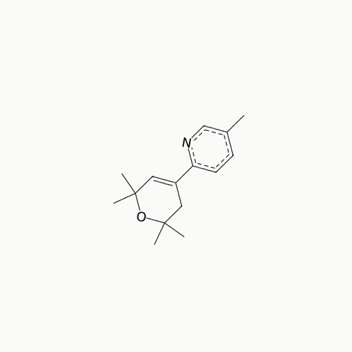 Cc1ccc(C2=CC(C)(C)OC(C)(C)C2)nc1